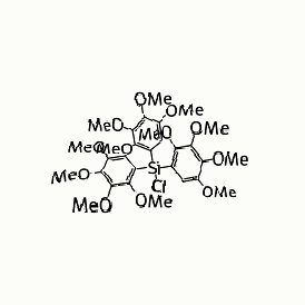 COc1cc([Si](Cl)(c2cc(OC)c(OC)c(OC)c2OC)c2cc(OC)c(OC)c(OC)c2OC)c(OC)c(OC)c1OC